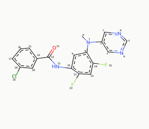 CN(c1cncnc1)c1cc(NC(=O)c2cccc(Cl)c2)c(F)cc1F